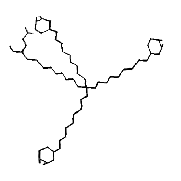 CCC(CCCCCCCCCC(CCCCCCCCCC1CCC2OC2C1)(CCCCCCCCCC1CCC2OC2C1)CCCCCCCCCC1CCC2OC2C1)CCC(C)O